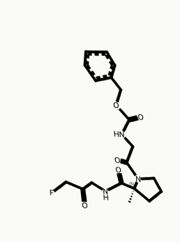 C[C@@]1(C(=O)NCC(=O)CF)CCCN1C(=O)CNC(=O)OCc1ccccc1